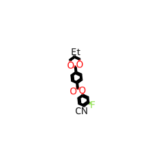 CCC1COC(c2ccc(C(=O)Oc3ccc(C#N)c(F)c3)cc2)OC1